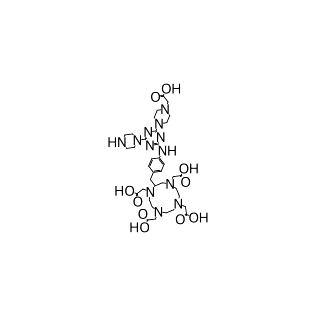 O=C(O)CN1CCN(CC(=O)O)CCN(CC(=O)O)C(Cc2ccc(Nc3nc(N4CCNCC4)nc(N4CCN(CC(=O)O)CC4)n3)cc2)CN(CC(=O)O)CC1